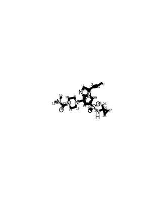 CC#Cc1cnc2c(N3CCN(C(=O)N(C)C)CC3)cc(S(=O)(=O)NC3(C)CC3)cn12